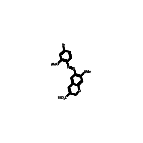 CCOC(=O)C1=Cc2cc(/N=N/c3ccc(Br)cc3OC)c(OC)cc2OC1